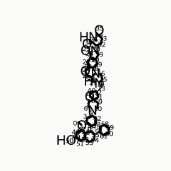 COc1cc(N2CCC3(CC2)C[C@H](CN2CCN4c5cc6c(cc5OC[C@@H]4C2)C(=O)N([C@H]2CCC(=O)NC2=O)C6)CO3)ccc1[C@@H]1c2ccc(O)cc2CC[C@@H]1c1ccccc1